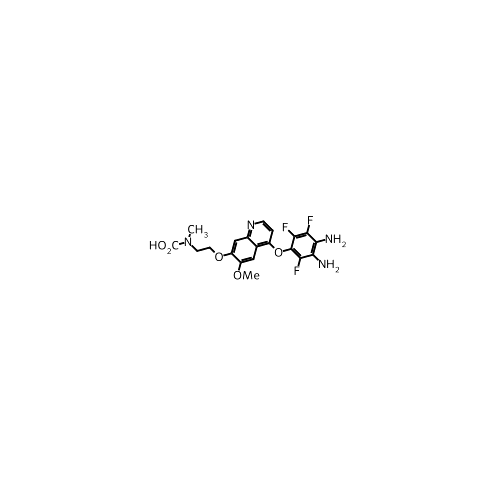 COc1cc2c(Oc3c(F)c(N)c(N)c(F)c3F)ccnc2cc1OCCN(C)C(=O)O